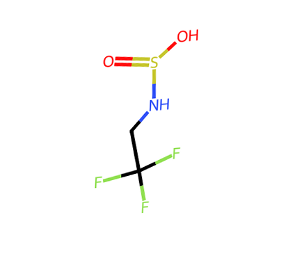 O=S(O)NCC(F)(F)F